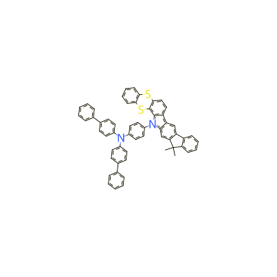 CC1(C)c2ccccc2-c2cc3c4ccc5c(c4n(-c4ccc(N(c6ccc(-c7ccccc7)cc6)c6ccc(-c7ccccc7)cc6)cc4)c3cc21)Sc1ccccc1S5